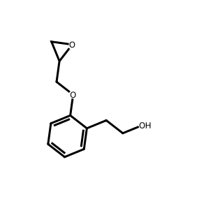 OCCc1ccccc1OCC1CO1